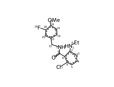 CCNc1nccc(Cl)c1C(=O)NCc1ccc(OC)c(F)c1